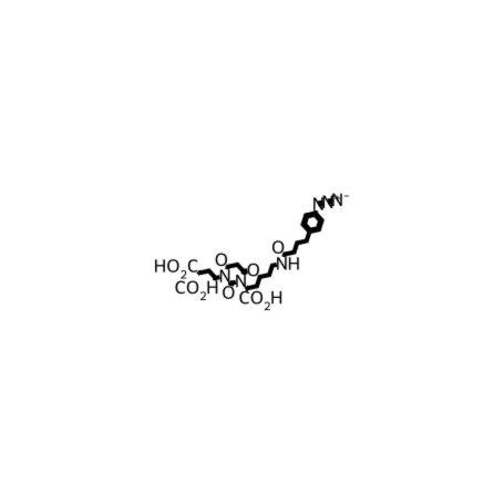 [N-]=[N+]=Nc1ccc(CCCC(=O)NCCCC[C@@H](C(=O)O)N2C(=O)CC(=O)N(C(CCC(=O)O)C(=O)O)C2=O)cc1